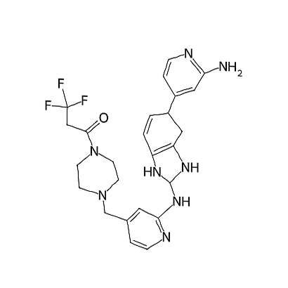 Nc1cc(C2C=CC3=C(C2)NC(Nc2cc(CN4CCN(C(=O)CC(F)(F)F)CC4)ccn2)N3)ccn1